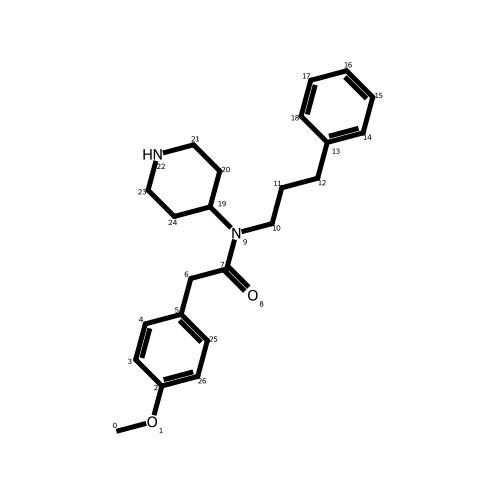 COc1ccc(CC(=O)N(CCCc2ccccc2)C2CCNCC2)cc1